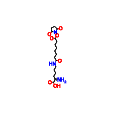 N[C@@H](CCCCNC(=O)CCCCCCC(=O)ON1C(=O)CCC1=O)C(=O)O